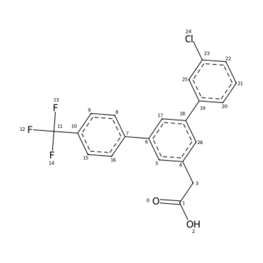 O=C(O)Cc1cc(-c2ccc(C(F)(F)F)cc2)cc(-c2cccc(Cl)c2)c1